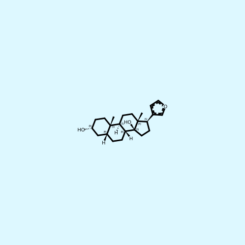 C[C@]12CC[C@@H](O)C[C@H]1CC[C@@H]1[C@@H]2CC[C@]2(C)[C@@H](c3ccoc3)CC[C@]12O